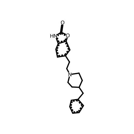 O=c1[nH]c2ccc(CCN3CCC(Cc4ccccc4)CC3)cc2o1